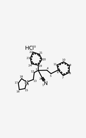 Cl.N#CC(CCc1ccccc1)(CCN1CCCC1)c1ccccc1